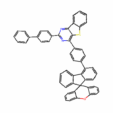 c1ccc(-c2ccc(-c3nc(-c4ccc(-c5cccc6c5-c5ccccc5C65c6ccccc6Oc6ccccc65)cc4)c4sc5ccccc5c4n3)cc2)cc1